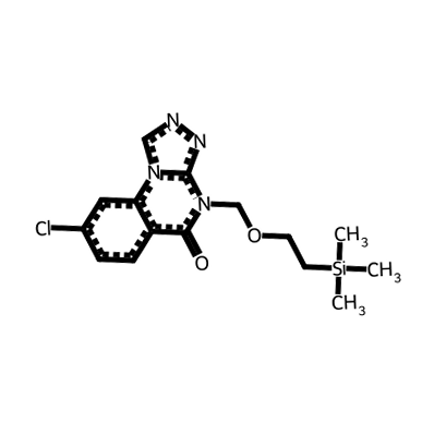 C[Si](C)(C)CCOCn1c(=O)c2ccc(Cl)cc2n2cnnc12